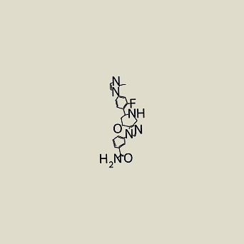 Cc1nccn1-c1ccc(C2CC(=O)c3c(ncn3-c3cccc(C(N)=O)c3)CN2)c(F)c1